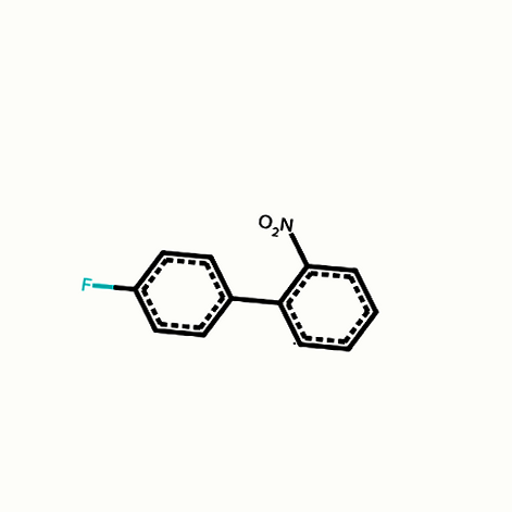 O=[N+]([O-])c1ccc[c]c1-c1ccc(F)cc1